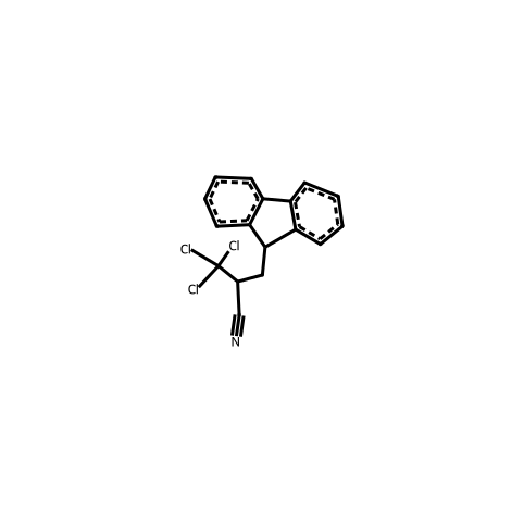 N#CC(CC1c2ccccc2-c2ccccc21)C(Cl)(Cl)Cl